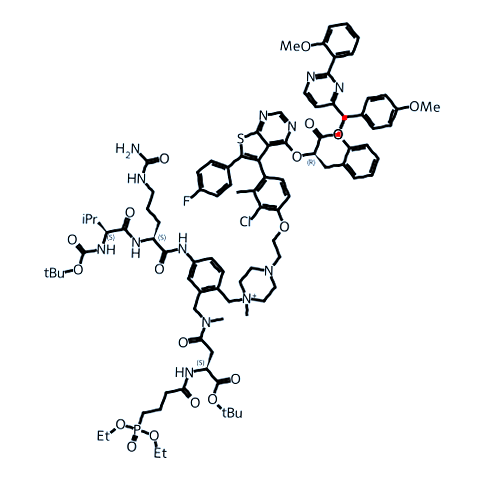 CCOP(=O)(CCCC(=O)N[C@@H](CC(=O)N(C)Cc1cc(NC(=O)[C@H](CCCNC(N)=O)NC(=O)[C@@H](NC(=O)OC(C)(C)C)C(C)C)ccc1C[N+]1(C)CCN(CCOc2ccc(-c3c(-c4ccc(F)cc4)sc4ncnc(O[C@H](Cc5ccccc5OCc5ccnc(-c6ccccc6OC)n5)C(=O)OCc5ccc(OC)cc5)c34)c(C)c2Cl)CC1)C(=O)OC(C)(C)C)OCC